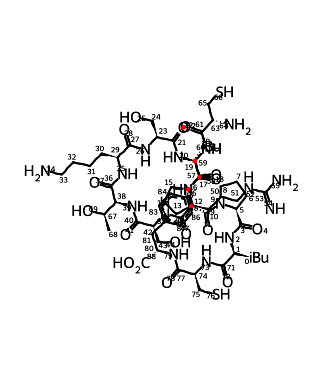 CC[C@H](C)[C@H](NC(=O)[C@@H]1CCCN1C(=O)[C@@H]1CCCN1C(=O)[C@@H](NC(=O)[C@H](CO)NC(=O)[C@H](CCCCN)NC(=O)[C@@H](NC(=O)[C@H](CO)NC(=O)[C@H](CCCNC(=N)N)NC(=O)CNC(=O)[C@@H](N)CS)[C@@H](C)O)[C@@H](C)CC)C(=O)N[C@@H](CS)C(=O)N[C@@H](Cc1ccccc1)C(=O)O